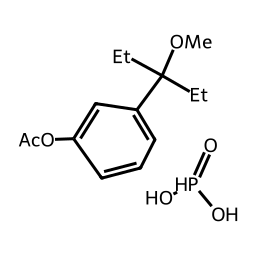 CCC(CC)(OC)c1cccc(OC(C)=O)c1.O=[PH](O)O